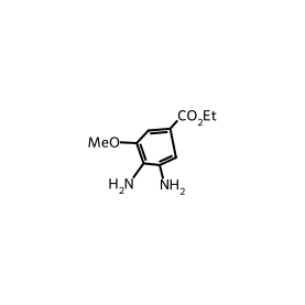 CCOC(=O)c1cc(N)c(N)c(OC)c1